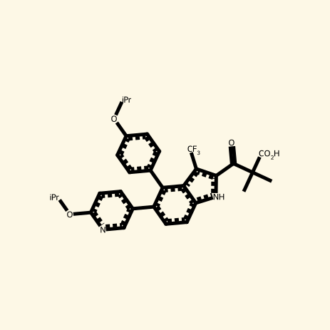 CC(C)Oc1ccc(-c2c(-c3ccc(OC(C)C)nc3)ccc3[nH]c(C(=O)C(C)(C)C(=O)O)c(C(F)(F)F)c23)cc1